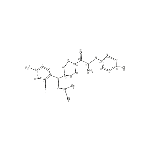 CCN(CC)CC(c1ccc(C(F)(F)F)cc1F)N1CCN(C(=O)C(N)Cc2ccc(Cl)cc2)CC1